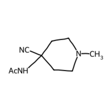 CC(=O)NC1(C#N)CCN(C)CC1